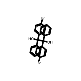 OC(c1ccccc1)(c1ccc(Br)cc1)C(O)(c1ccccc1)c1ccc(Br)cc1